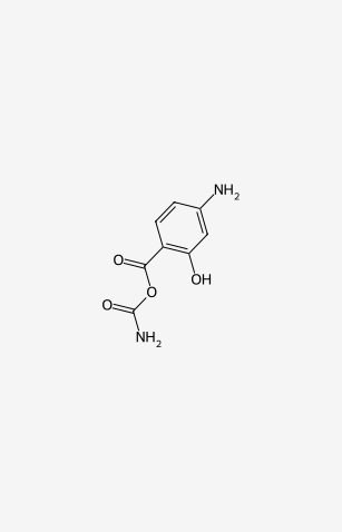 NC(=O)OC(=O)c1ccc(N)cc1O